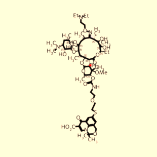 CC[C@H]1OC(=O)[C@H](C)[C@@H](O[C@H]2C[C@@](C)(OC)[C@@H](OC(=O)NCCOCCSc3cc4c5c(c3)c(=O)c(C(=O)O)cn5C(C)(C)OC4)[C@H](C)O2)[C@H](C)[C@@H](OC2O[C@H](C)C[C@H](N(C)C)[C@H]2O)[C@](C)(O)C[C@@H](C)/C(=N\OCCN(CC)CC)[C@H](C)[C@@H](O)[C@]1(C)O